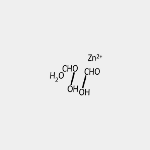 O.O=[C-]O.O=[C-]O.[Zn+2]